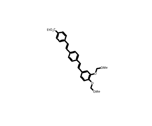 CCOC(=O)c1ccc(C=Cc2ccc(C=Cc3ccc(OCOC)c(OCOC)c3)cc2)cc1